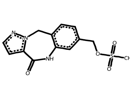 CS(=O)(=O)OCc1ccc2c(c1)NC(=O)c1ccnn1C2